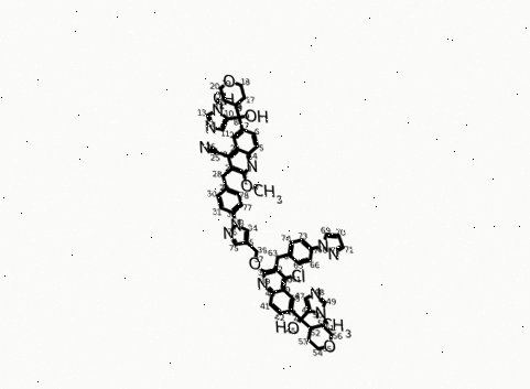 COc1nc2ccc(C(O)(c3cncn3C)C3CCOCC3)cc2c(C#N)c1Cc1ccc(-n2cc(COc3nc4ccc(C(O)(c5cncn5C)C5CCOCC5)cc4c(Cl)c3Cc3ccc(-n4cccn4)cc3)cn2)cc1